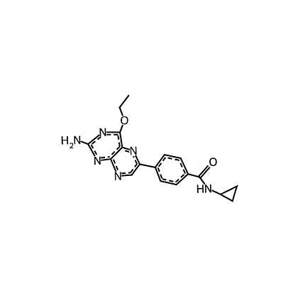 CCOc1nc(N)nc2ncc(-c3ccc(C(=O)NC4CC4)cc3)nc12